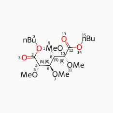 CCCCOC(=O)[C@@H](OC)[C@H](OC)[C@H](OC)[C@@H](OC)C(=O)OCCCC